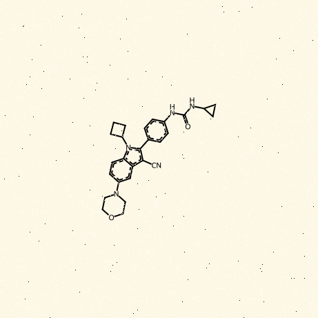 N#Cc1c(-c2ccc(NC(=O)NC3CC3)cc2)n(C2CCC2)c2ccc(N3CCOCC3)cc12